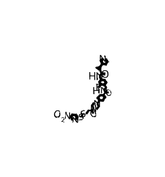 O=C(NCc1ccc(NC(=O)C2CC2c2cccnc2)cc1F)c1ccc(N2CCN(C(=O)CCSSc3ccc([N+](=O)[O-])cn3)CC2)cc1